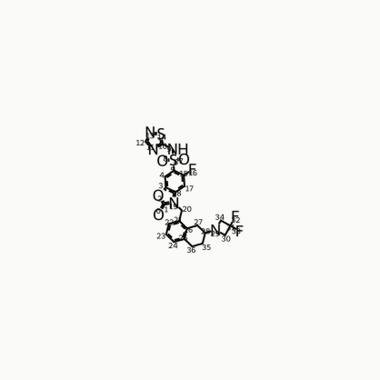 O=c1oc2cc(S(=O)(=O)Nc3ncns3)c(F)cc2n1Cc1cccc2c1CC(N1CC(F)(F)C1)CC2